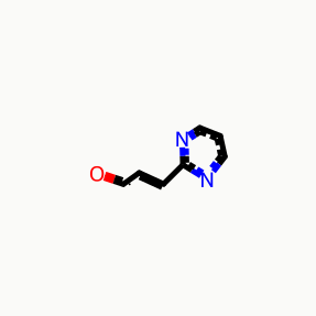 O=[C]C=Cc1ncccn1